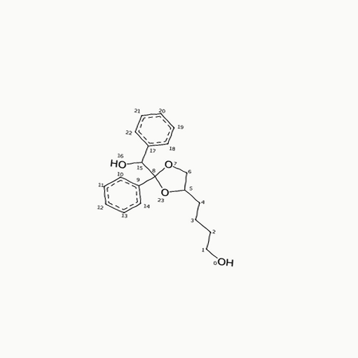 OCCCCC1COC(c2ccccc2)(C(O)c2ccccc2)O1